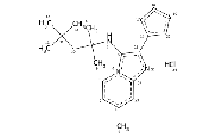 Cc1ccn2c(NC(C)(C)CC(C)(C)C)c(-c3ccsc3)nc2c1.Cl